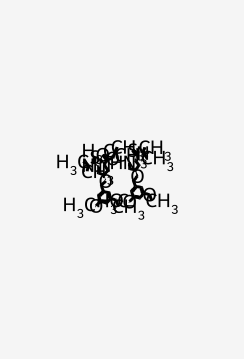 COc1cc(CO[C@@H]2C[C@@H](C(=S)N(C)C)N(C(=O)OC(C)(C)C)C2)cc(OC)c1.COc1cc(CO[C@H]2CN[C@H](C(=S)N(C)C)C2)cc(OC)c1